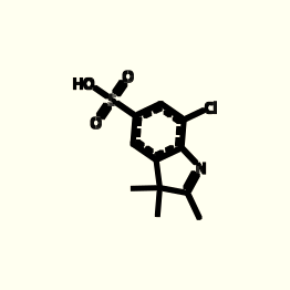 CC1=Nc2c(Cl)cc(S(=O)(=O)O)cc2C1(C)C